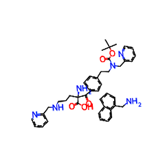 CC(C)(C)OC(=O)N(CCc1ccc(C(=O)[C@@](N)(CCCNCc2ccccn2)C(=O)O)cc1)Cc1ccccn1.NCc1cccc2ccccc12